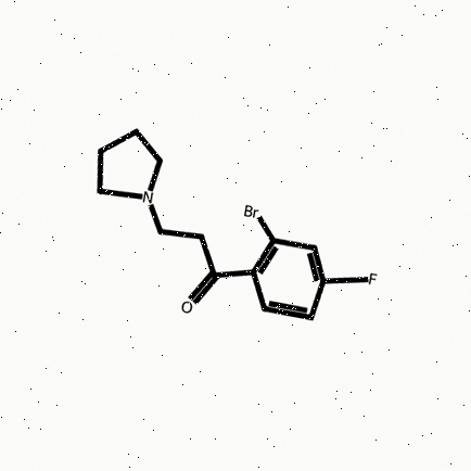 O=C(CCN1CCCC1)c1ccc(F)cc1Br